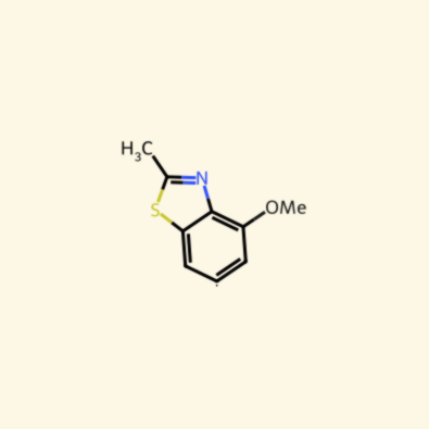 COc1c[c]cc2sc(C)nc12